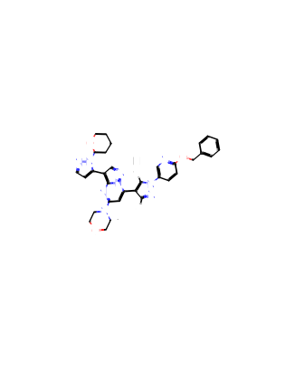 Cc1nn(-c2ccc(OCc3ccccc3)nc2)c(C)c1-c1cc(N2CCOC[C@H]2C)nc2c(-c3ccnn3C3CCCCO3)cnn12